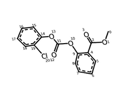 COC(=O)c1ccccc1OC(=O)Oc1ccccc1Cl